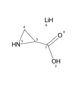 O=C(O)C1CN1.[LiH]